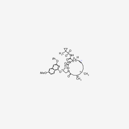 COc1ccc2c(O[C@@H]3C[C@H]4C(=O)N[C@]5(C(=O)NS(=O)(=O)C6(C)CC6)C[C@H]5/C=C\CC[C@H](C)C[C@@H](C)CC(=O)N4C3)nc(OC(C)C)cc2c1